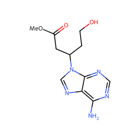 COC(=O)CC(CCO)n1cnc2c(N)ncnc21